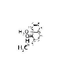 C=CCc1ccc2ccccc2c1O.O